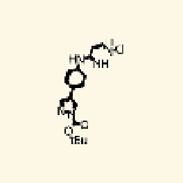 CC(C)(C)OC(=O)n1cc(C2=CCC(NC(=N)/C=C\NCl)C=C2)cn1